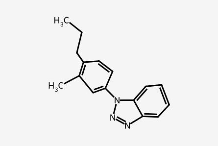 CCCc1ccc(-n2nnc3ccccc32)cc1C